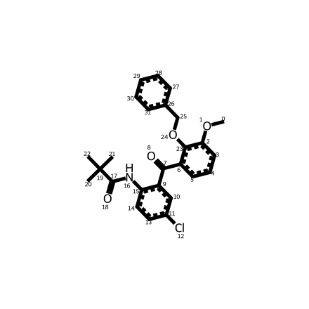 COc1cccc(C(=O)c2cc(Cl)ccc2NC(=O)C(C)(C)C)c1OCc1ccccc1